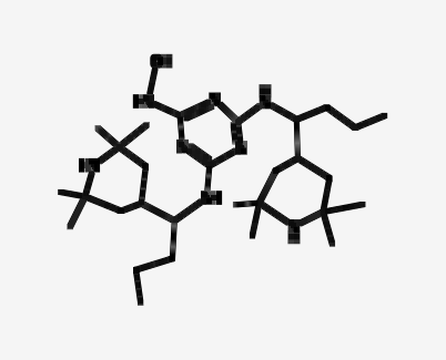 CCCC(Nc1nc(NO)nc(NC(CCC)C2CC(C)(C)NC(C)(C)C2)n1)C1CC(C)(C)NC(C)(C)C1